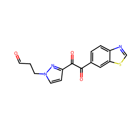 O=CCCn1ccc(C(=O)C(=O)c2ccc3ncsc3c2)n1